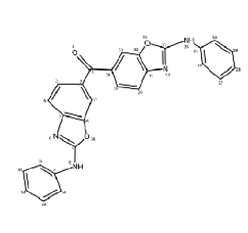 O=C(c1ccc2nc(Nc3ccccc3)oc2c1)c1ccc2nc(Nc3ccccc3)oc2c1